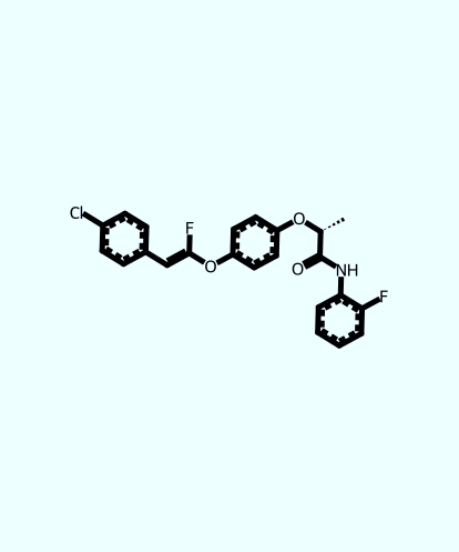 C[C@@H](Oc1ccc(O/C(F)=C/c2ccc(Cl)cc2)cc1)C(=O)Nc1ccccc1F